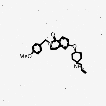 C=CCC1(N)CCC(Oc2ccc3c(=O)n(Cc4ccc(OC)cc4)ccc3c2)CC1